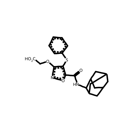 O=C(O)COc1noc(C(=O)NC2C3CC4CC(C3)CC2C4)c1Sc1ccccc1